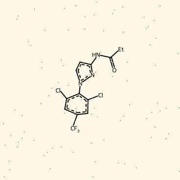 CCC(=O)Nc1ccn(-c2c(Cl)cc(C(F)(F)F)cc2Cl)n1